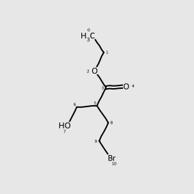 CCOC(=O)C(CO)CCBr